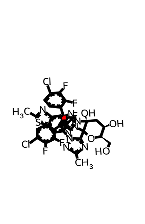 Cc1nc(C2(n3cc(-c4ccc(Cl)c(F)c4F)cn3)O[C@H](CO)[C@H](O)C[C@]2(O)n2cc(-c3ccc(Cl)c(F)c3F)cn2)n(-c2cc3sc(C)nc3cc2F)n1